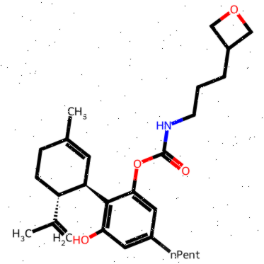 C=C(C)[C@@H]1CCC(C)=C[C@H]1c1c(O)cc(CCCCC)cc1OC(=O)NCCCC1COC1